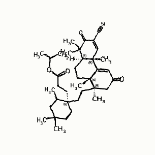 CC(C)OC(=O)CC[C@]1(CC[C@]2(C)CC(=O)C=C3[C@@]4(C)C=C(C#N)C(=O)C(C)(C)[C@@H]4CC[C@]32C)CCC(C)(C)CC1C